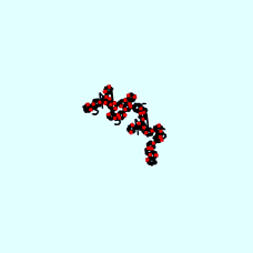 c1ccc(-c2nc(-c3cccc(-c4cccc5sc6ccc(-c7cc(-c8ccc9sc%10ccc(-c%11nc(-c%12ccccc%12)nc(-c%12cccc(-c%13cccc%14sc%15ccc(-c%16ccc%17ccc%18c%19ccccc%19ccc%18c%17c%16)cc%15c%13%14)c%12)n%11)cc%10c9c8)c8c9c(cccc79)-c7ccccc7-8)cc6c45)c3)nc(-c3ccc4c(c3)sc3ccccc34)n2)cc1